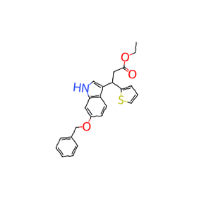 CCOC(=O)CC(c1cccs1)c1c[nH]c2cc(OCc3ccccc3)ccc12